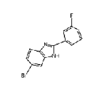 Fc1cccc(-c2nc3ccc(Br)cc3[nH]2)c1